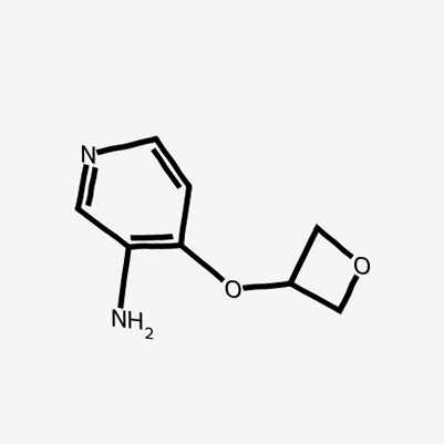 Nc1cnccc1OC1COC1